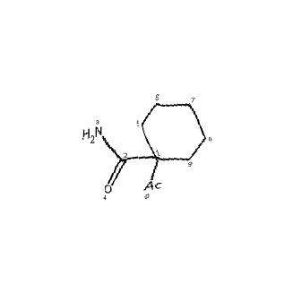 CC(=O)C1(C(N)=O)CCCCC1